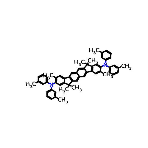 Cc1cccc(N(c2cccc(C)c2)c2cc3c(cc2C)-c2cc4cc5c(cc4cc2C3(C)C)-c2cc(C)c(N(c3cccc(C)c3)c3cccc(C)c3)cc2C5(C)C)c1